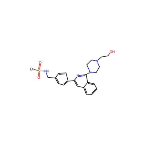 CCS(=O)(=O)NCc1ccc(-c2cc3ccccc3c(N3CCN(CCO)CC3)n2)cc1